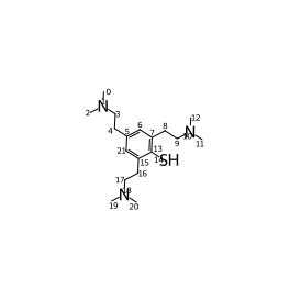 CN(C)CCc1cc(CCN(C)C)c(S)c(CCN(C)C)c1